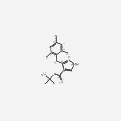 CCCC(C)(C)OC(=O)c1c[nH]nc1Cc1c(C)cc(C)cc1C